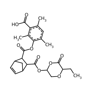 CCC1OCC(OC(=O)C2C3C=CC(C3)C2C(=O)Oc2c(C)cc(C)c(C(=O)O)c2C)OC1=O